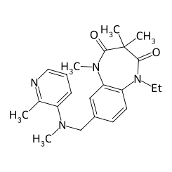 CCN1C(=O)C(C)(C)C(=O)N(C)c2cc(CN(C)c3cccnc3C)ccc21